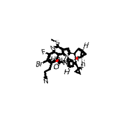 CSc1nc2c(F)c(Br)c(CCC#N)cc2c2c1cc([C@H]1C[C@H]3C[C@H]3N1C(=O)C1(F)CC1)n2[C@H]1[C@@H]2C[C@H]1N(C(=O)O)C2